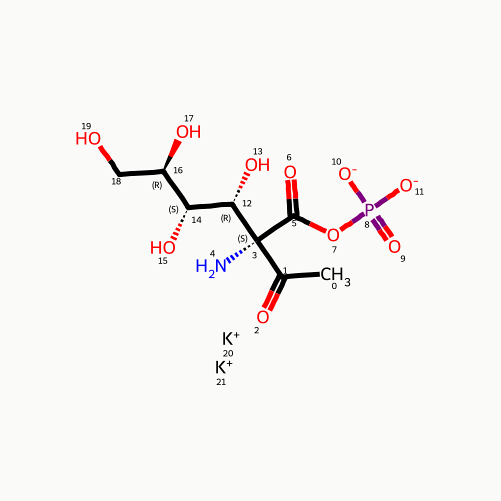 CC(=O)[C@](N)(C(=O)OP(=O)([O-])[O-])[C@@H](O)[C@H](O)[C@H](O)CO.[K+].[K+]